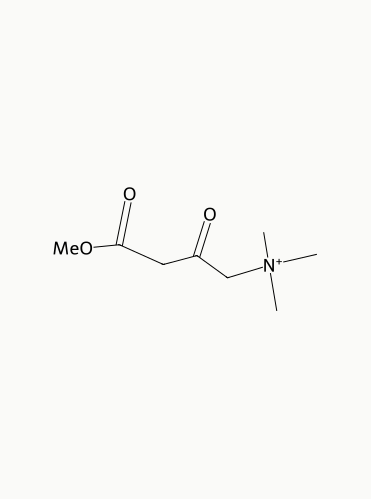 COC(=O)CC(=O)C[N+](C)(C)C